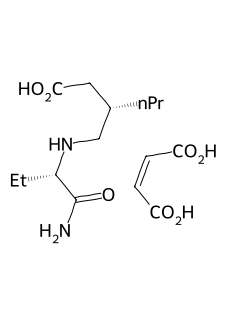 CCC[C@H](CN[C@@H](CC)C(N)=O)CC(=O)O.O=C(O)/C=C\C(=O)O